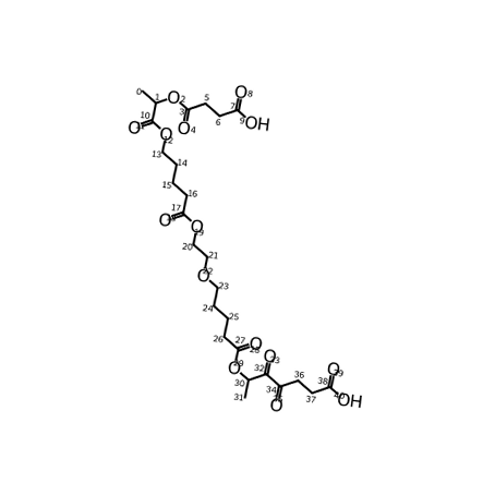 CC(OC(=O)CCC(=O)O)C(=O)OCCCCC(=O)OCCOCCCCC(=O)OC(C)C(=O)C(=O)CCC(=O)O